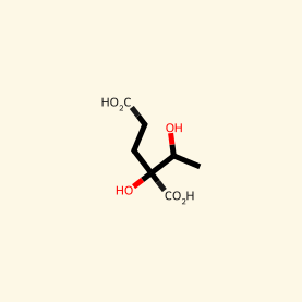 CC(O)C(O)(CCC(=O)O)C(=O)O